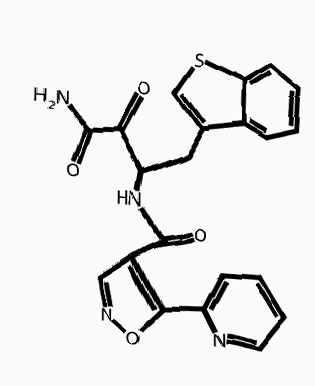 NC(=O)C(=O)C(Cc1csc2ccccc12)NC(=O)c1cnoc1-c1ccccn1